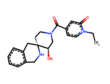 O=C(c1ccn(CC(F)(F)F)c(=O)c1)N1CC[C@]2(Cc3ccccc3CN2)[C@H](O)C1